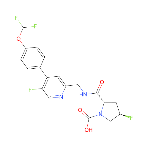 O=C(NCc1cc(-c2ccc(OC(F)F)cc2)c(F)cn1)[C@@H]1C[C@@H](F)CN1C(=O)O